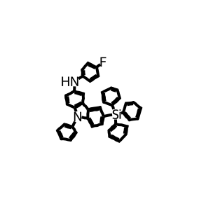 Fc1ccc(Nc2ccc3c(c2)c2cc([Si](c4ccccc4)(c4ccccc4)c4ccccc4)ccc2n3-c2ccccc2)cc1